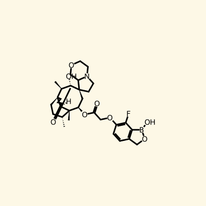 C[C@@H]1CC[C@@]23CCC(=O)[C@H]2[C@]1(C)[C@H](OC(=O)COc1ccc2c(c1F)B(O)OC2)C[C@@]1(CCN2CCOCC21)[C@@H](O)[C@@H]3C